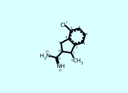 CC1c2cccc(Cl)c2CC1C(=N)N